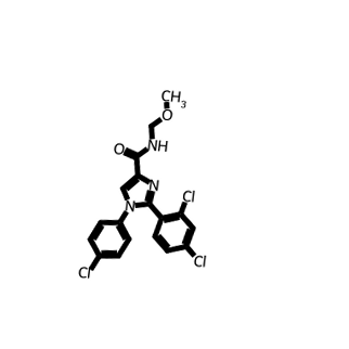 COCNC(=O)c1cn(-c2ccc(Cl)cc2)c(-c2ccc(Cl)cc2Cl)n1